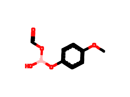 COc1ccc(OB(O)OC=O)cc1